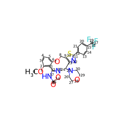 COc1cccc(OCc2sc(-c3ccc(C(F)(F)F)cc3)nc2CN2CCOCC2)c1-c1noc(=O)[nH]1